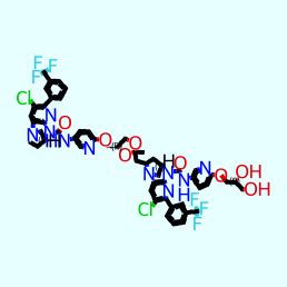 CC1(CC2C[C@H]3CN2c2cc(Cl)c(-c4cccc(C(F)(F)F)c4)nc2N3C(=O)Nc2ccc(OC[C@@H](O)CO)nc2)OC[C@@H](COc2ccc(NC(=O)N3c4nc(-c5cccc(C(F)(F)F)c5)c(Cl)cc4N4CC[C@H]3C4)cn2)O1